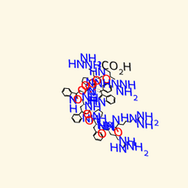 N=C(N)NCCC[C@H](NC(=O)[C@H](CCCNC(=N)N)NC(=O)[C@H](Cc1ccccc1)NC(=O)[C@@H]1CCCN1C(=O)[C@H](Cc1c[nH]c2ccccc12)NC(=O)[C@H](Cc1c[nH]c2ccccc12)NC(=O)[C@H](Cc1c[nH]c2ccccc12)NC(=O)[C@@H]1CCCN1C(=O)[C@H](Cc1ccccc1)NC(=O)[C@H](CCCNC(=N)N)NC(=O)[C@@H](N)CCCNC(=N)N)C(=O)O